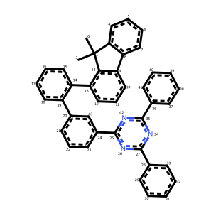 CC1(C)c2ccccc2-c2cccc(-c3ccccc3-c3cccc(-c4nc(-c5ccccc5)nc(-c5ccccc5)n4)c3)c21